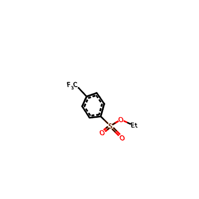 CCOS(=O)(=O)c1ccc(C(F)(F)F)cc1